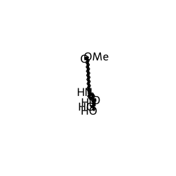 COC(=O)CCCCCCCCCCCCCCCNc1ccc(C(=O)NCC(O)CO)cc1